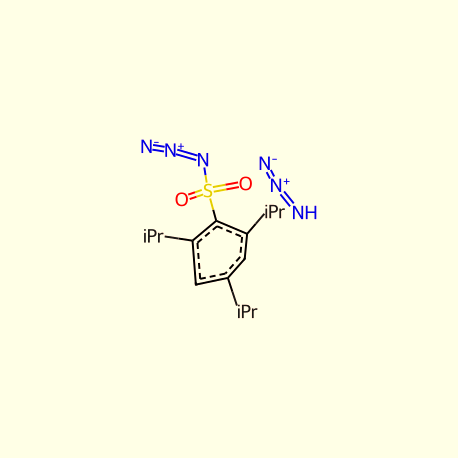 CC(C)c1cc(C(C)C)c(S(=O)(=O)N=[N+]=[N-])c(C(C)C)c1.[N-]=[N+]=N